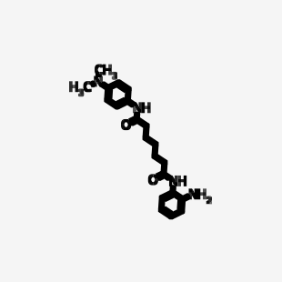 CN(C)c1ccc(NC(=O)CCCCCC(=O)Nc2ccccc2N)cc1